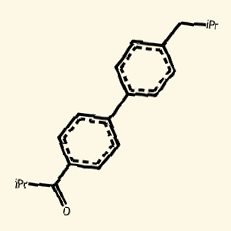 CC(C)Cc1ccc(-c2ccc(C(=O)C(C)C)cc2)cc1